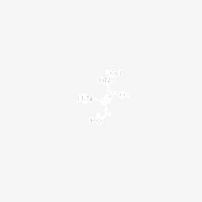 N[C@@H](CO)C(=O)NO